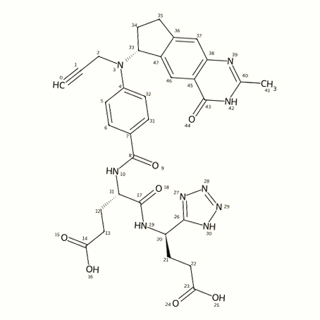 C#CCN(c1ccc(C(=O)N[C@@H](CCC(=O)O)C(=O)N[C@H](CCC(=O)O)c2nnn[nH]2)cc1)[C@@H]1CCc2cc3nc(C)[nH]c(=O)c3cc21